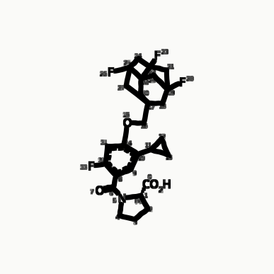 O=C(O)[C@@H]1CCCN1C(=O)c1cc(C2CC2)c(OCC23CC4(F)CC5(F)CC(F)(C2)C5(C4)C3)cc1F